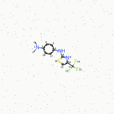 CN(C)c1ccc(Nc2nc(C(F)(F)F)cs2)cc1